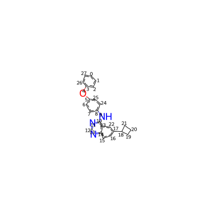 c1ccc(Oc2ccc(Nc3ncnc4ccc(C5CCC5)cc34)cc2)cc1